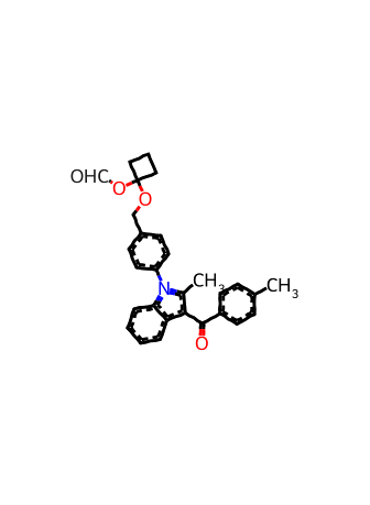 Cc1ccc(C(=O)c2c(C)n(-c3ccc(COC4(OC=O)CCC4)cc3)c3ccccc23)cc1